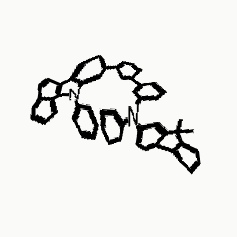 CC1(C)c2ccccc2-c2ccc(N(c3ccccc3)c3cccc(-c4cccc(-c5ccc6c7ccc8ccccc8c7n(-c7ccccc7)c6c5)c4)c3)cc21